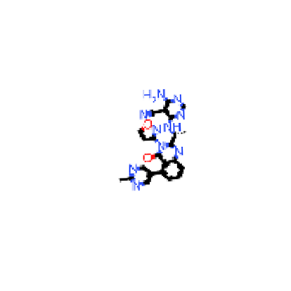 Cc1ncc(-c2cccc3nc([C@@H](C)Nc4ncnc(N)c4C#N)n(-c4ccon4)c(=O)c23)cn1